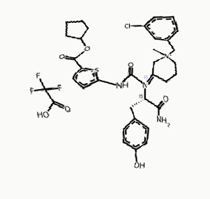 C[N+]1(Cc2cccc(Cl)c2)CCC/C(=[N+](/C(=O)Nc2ccc(C(=O)OC3CCCC3)s2)[C@@H](Cc2ccc(O)cc2)C(N)=O)C1.O=C(O)C(F)(F)F